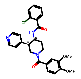 COc1ccc(C(=O)N2CC[C@H](NC(=O)c3ccccc3Cl)[C@H](c3ccncc3)C2)cc1OC